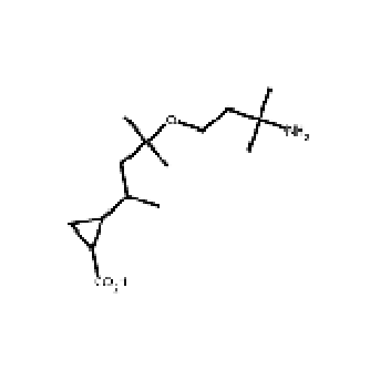 CC(CC(C)(C)OCCC(C)(C)N)C1CC1C(=O)O